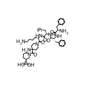 CC(C)C[C@@H](NC(=O)[C@@H](Cc1ccccc1)NC(=O)[C@H](N)Cc1ccccc1)C(=O)N[C@H](CCCCN)C(=O)N1CCC(N)(C(=O)N2CCCC(B(O)O)C2)CC1